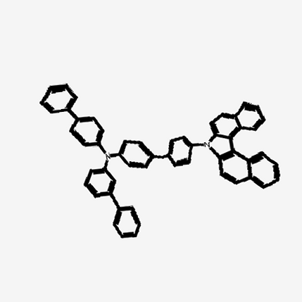 c1ccc(-c2ccc(N(c3ccc(-c4ccc(-n5c6ccc7ccccc7c6c6c7ccccc7ccc65)cc4)cc3)c3cccc(-c4ccccc4)c3)cc2)cc1